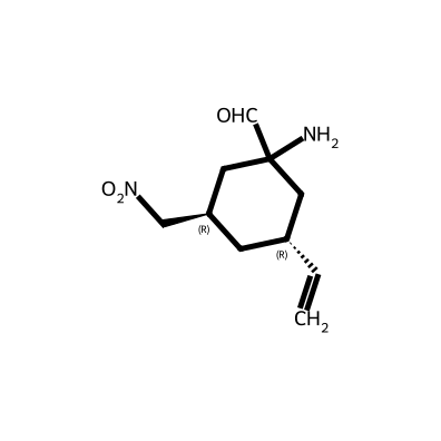 C=C[C@@H]1C[C@@H](C[N+](=O)[O-])CC(N)(C=O)C1